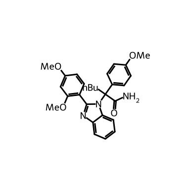 CCCCC(C(N)=O)(c1ccc(OC)cc1)n1c(-c2ccc(OC)cc2OC)nc2ccccc21